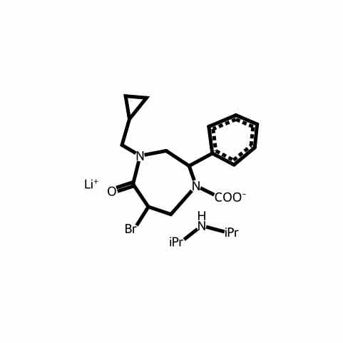 CC(C)NC(C)C.O=C1C(Br)CN(C(=O)[O-])C(c2ccccc2)CN1CC1CC1.[Li+]